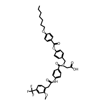 CCCCCCCOc1ccc(C(=O)Oc2ccc(CN(CC(=O)O)C(=O)c3ccc(NC(=O)Cc4ccc(C(F)(F)F)cc4OC)cc3)cc2)cc1